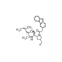 C/C=C(C)\C=C(/C)[C@@H](C)NC(=O)C1CC(CF)CN1C(=O)Cc1ccc2sc3ccccc3c2c1